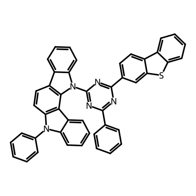 c1ccc(-c2nc(-c3ccc4c(c3)sc3ccccc34)nc(-n3c4ccccc4c4ccc5c(c6ccccc6n5-c5ccccc5)c43)n2)cc1